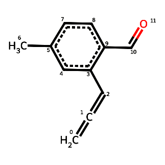 C=C=Cc1cc(C)ccc1C=O